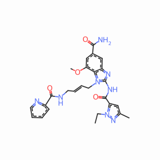 CCn1nc(C)cc1C(=O)Nc1nc2cc(C(N)=O)cc(OC)c2n1CC=CCNC(=O)c1ccccn1